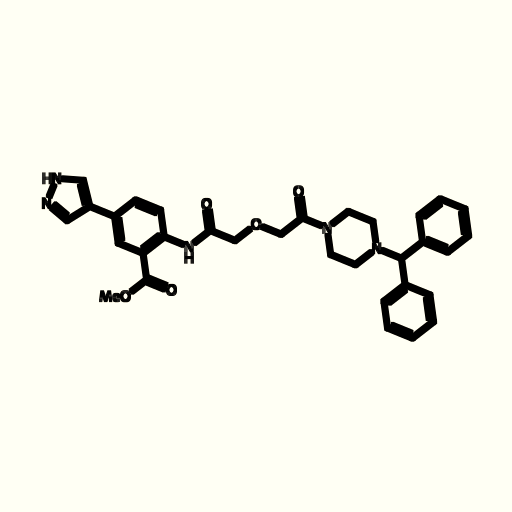 COC(=O)c1cc(-c2cn[nH]c2)ccc1NC(=O)COCC(=O)N1CCN(C(c2ccccc2)c2ccccc2)CC1